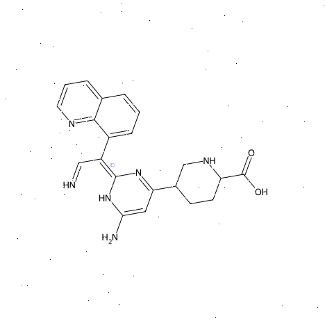 N=C/C(=C1/N=C(C2CCC(C(=O)O)NC2)C=C(N)N1)c1cccc2cccnc12